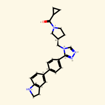 O=C(C1CC1)N1CC[C@@H](Cn2cnnc2-c2ccc(-c3ccc4c(c3)CCN4)cc2)C1